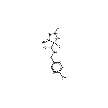 CCC1(C(=O)NCc2ccc(C(C)(C)C)cc2)NN(C)C=C1Cl